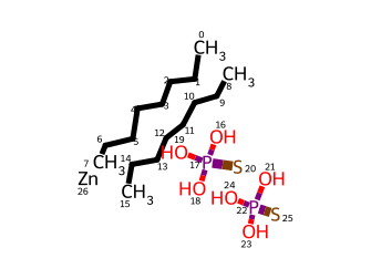 CCCCCCCC.CCCCCCCC.OP(O)(O)=S.OP(O)(O)=S.[Zn]